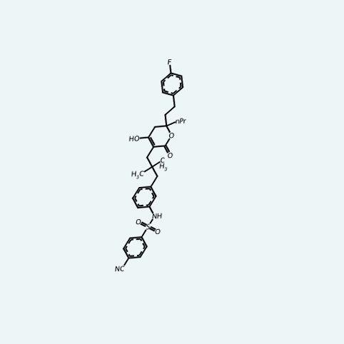 CCCC1(CCc2ccc(F)cc2)CC(O)=C(CC(C)(C)Cc2cccc(NS(=O)(=O)c3ccc(C#N)cc3)c2)C(=O)O1